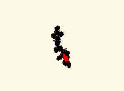 c1ccc(-c2nc(-c3ccccc3)nc(-c3cccc4sc5c(ccc6oc7cc(-n8c9ccccc9c9cc(-c%10cc(-c%11nc(-c%12ccccc%12)nc(-c%12ccccc%12)n%11)c%11c(c%10)sc%10ccc%12c%13ccc(-n%14c%15ccccc%15c%15ccccc%15%14)cc%13oc%12c%10%11)ccc98)ccc7c65)c34)n2)cc1